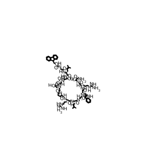 CC(C)=CC[C@H](NC(=O)CNC(=O)OCC1c2ccccc2-c2ccccc21)C(=O)N[C@H]1CCCC(C(N)=O)NC(=O)[C@H](CCCNC(=N)N)NC(=O)[C@H](Cc2cc3ccccc3[nH]2)NC(=O)[C@H](C)NC(=O)[C@H](CC=C(C)C)NC(=O)[C@H](CCCNC(=N)N)NC(=O)C2CCCN2C(=O)[C@H](CC(=O)O)NC(=O)[C@H](CO)NC1=O